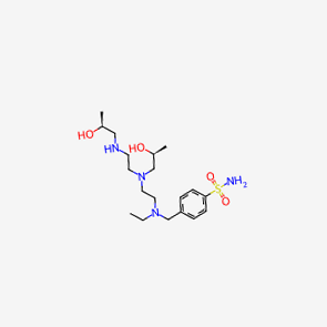 CCN(CCN(CCNC[C@H](C)O)C[C@H](C)O)Cc1ccc(S(N)(=O)=O)cc1